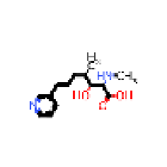 CN[C@H](C(=O)O)[C@H](O)[C@H](C)CC=Cc1cccnc1